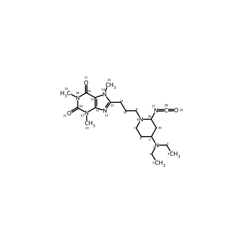 CCN(CC)C1CCN(CCCc2nc3c(c(=O)n(C)c(=O)n3C)n2C)C(N=C=O)C1